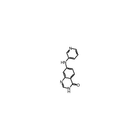 O=c1[nH]cnc2cc(Nc3cccnc3)ccc12